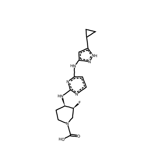 O=C(O)N1CC[C@@H](Nc2nccc(Nc3cc(C4CC4)[nH]n3)n2)[C@@H](F)C1